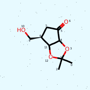 CC1(C)OC2C(=O)C[C@H](CO)C2O1